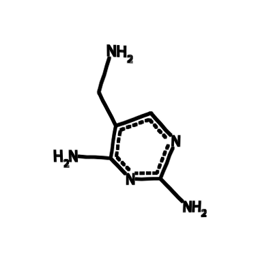 NCc1cnc(N)nc1N